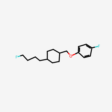 FCCCCC1CCC(COc2ccc(F)cc2)CC1